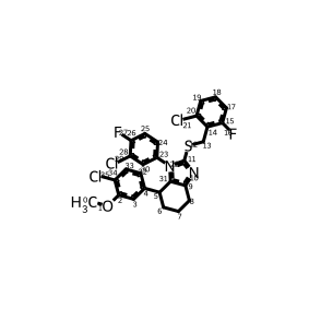 COc1cc(C2CCCc3nc(SCc4c(F)cccc4Cl)n(-c4ccc(F)c(Cl)c4)c32)ccc1Cl